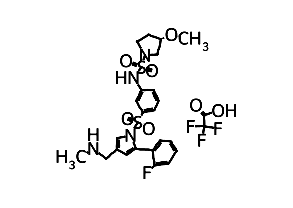 CNCc1cc(-c2ccccc2F)n(S(=O)(=O)c2cccc(NS(=O)(=O)N3CC[C@H](OC)C3)c2)c1.O=C(O)C(F)(F)F